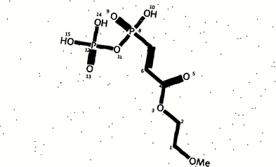 COCCOC(=O)/C=C/P(=O)(O)OP(=O)(O)O